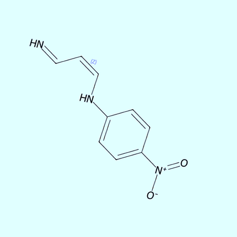 N=C/C=C\Nc1ccc([N+](=O)[O-])cc1